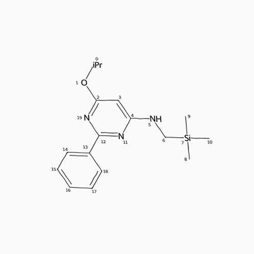 CC(C)Oc1cc(NC[Si](C)(C)C)nc(-c2ccccc2)n1